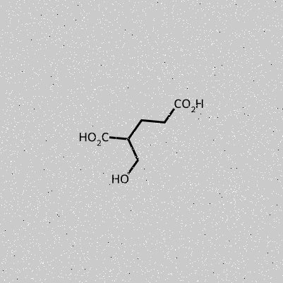 O=C(O)CCC(CO)C(=O)O